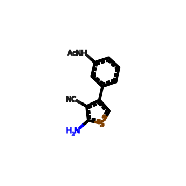 CC(=O)Nc1cccc(-c2csc(N)c2C#N)c1